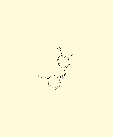 CC(C)C/C(=C\c1ccc(O)c(I)c1)N=O